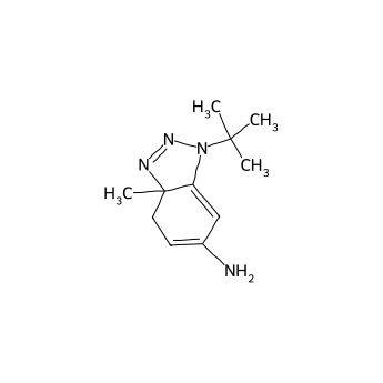 CC12CC=C(N)C=C1N(C(C)(C)C)N=N2